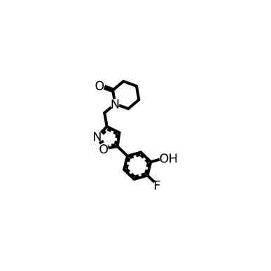 O=C1CCCCN1Cc1cc(-c2ccc(F)c(O)c2)on1